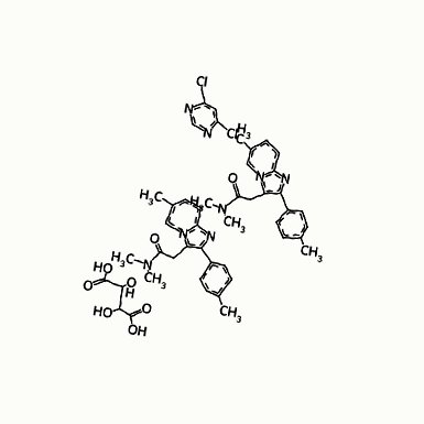 Cc1ccc(-c2nc3ccc(C)cn3c2CC(=O)N(C)C)cc1.Cc1ccc(-c2nc3ccc(C)cn3c2CC(=O)N(C)C)cc1.Clc1cc(Cl)ncn1.O=C(O)C(O)C(O)C(=O)O